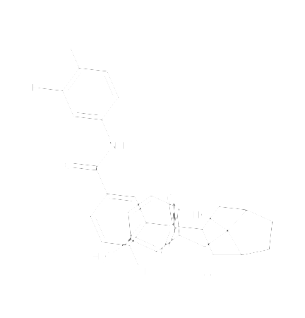 Cc1ccnc([C@@H](O)C2(O)C3CCC2CC(S(=O)(=O)c2cc(C(=O)Nc4ccc(F)c(F)c4)ccc2Cl)C3)c1